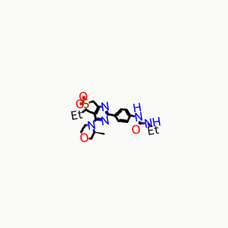 CCNC(=O)Nc1ccc(-c2nc3c(c(N4CCOC[C@@H]4C)n2)C(CC)S(=O)(=O)C3)cc1